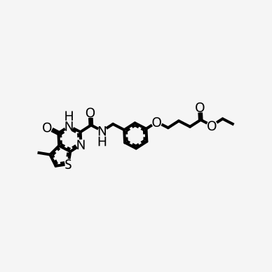 CCOC(=O)CCCOc1cccc(CNC(=O)c2nc3scc(C)c3c(=O)[nH]2)c1